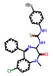 CN1C(=O)C(NC(=S)Nc2ccc(C(C)(C)C)cc2)N=C(c2ccccc2)c2cc(Cl)ccc21